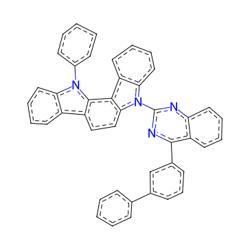 c1ccc(-c2cccc(-c3nc(-n4c5ccccc5c5c4ccc4c6ccccc6n(-c6ccccc6)c45)nc4ccccc34)c2)cc1